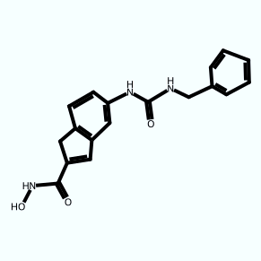 O=C(NCc1ccccc1)Nc1ccc2c(c1)C=C(C(=O)NO)C2